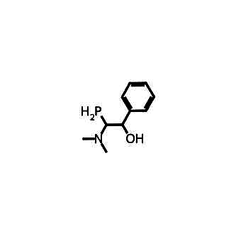 CN(C)C(P)C(O)c1ccccc1